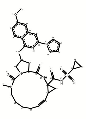 COc1ccc2c(OC3CC4C(=O)NC5(C(=O)NS(=O)(=O)C6CC6)CC5C=CCCCCN(C)C(=O)N4C3)nc(-n3cccn3)cc2c1